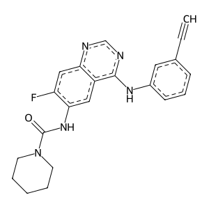 C#Cc1cccc(Nc2ncnc3cc(F)c(NC(=O)N4CCCCC4)cc23)c1